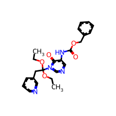 CCOC(Cc1cccnc1)(OCC)n1cncc(NC(=O)OCc2ccccc2)c1=O